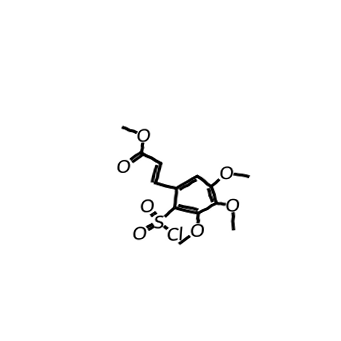 COC(=O)C=Cc1cc(OC)c(OC)c(OC)c1S(=O)(=O)Cl